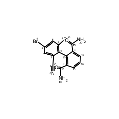 N#Cc1cc(Br)cc(F)c1-c1c(C(N)=O)cccc1C(N)=O